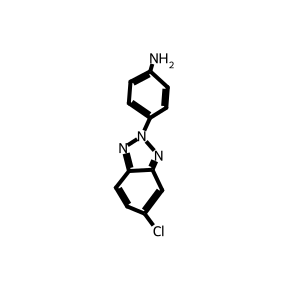 Nc1ccc(-n2nc3ccc(Cl)cc3n2)cc1